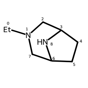 CCN1CC2CCC(C1)N2